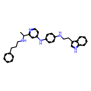 CC(NCCCc1ccccc1)c1cc(Nc2ccc(NCCc3c[nH]c4ccccc34)cc2)ccn1